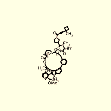 CCn1c(-c2cccnc2[C@H](C)OC)c2c3cc(ccc31)-c1cccc(c1)C[C@H](NC(=O)[C@H](C(C)C)N(C)C(=O)C1CCN(C(=O)C#CC3(C)CCC3)C1)C(=O)N1CCC[C@H](N1)C(=O)OCC(C)(C)C2